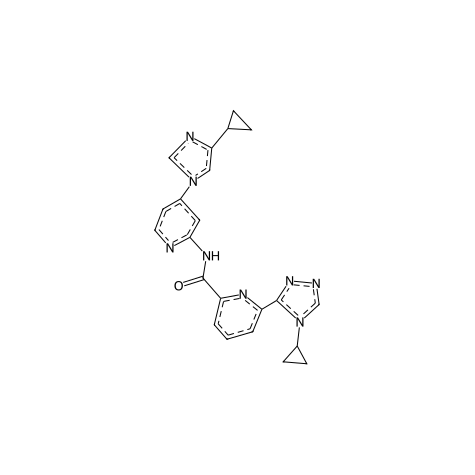 O=C(Nc1cc(-n2cnc(C3CC3)c2)ccn1)c1cccc(-c2nncn2C2CC2)n1